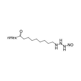 CCCCCCC(=O)CCCCCCCCNNNN=O